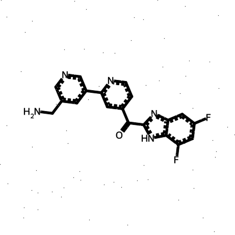 NCc1cncc(-c2cc(C(=O)c3nc4cc(F)cc(F)c4[nH]3)ccn2)c1